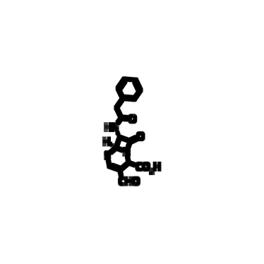 O=CC1=CS[C@H]2[C@H](NC(=O)Cc3ccccc3)C(=O)N2C1C(=O)O